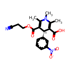 CC1=C(C(=O)O)[C@H](c2cccc([N+](=O)[O-])c2)C(C(=O)OCCC#N)=C(C)N1C